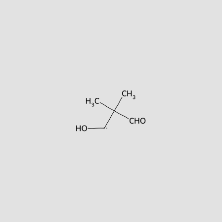 CC(C)([CH]O)C=O